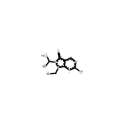 CC(C)(C)Cn1c2nc(C#N)ncc2c(=O)n1C(C(=O)O)C(C)(C)C